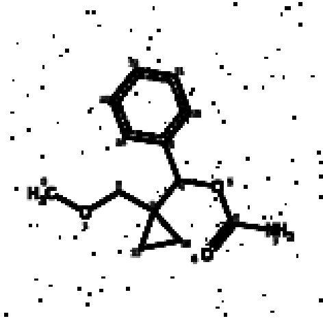 COCC1(C(OC(N)=O)c2ccccc2)CC1